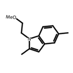 COCCn1c(C)cc2cc(C)ccc21